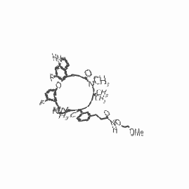 COCCONC(=O)CCc1cccc(C2(C)CCCC(C)(C)CN(C)C(=O)CCc3c(c(F)cc4[nH]ccc34)Oc3ccc(F)c(c3)-c3ncc2[nH]3)c1